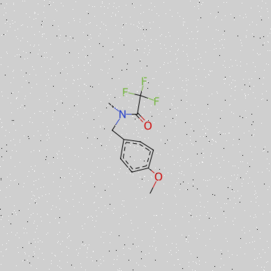 COc1ccc(CN(C)C(=O)C(F)(F)F)cc1